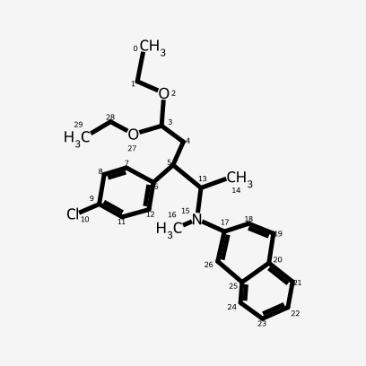 CCOC(CC(c1ccc(Cl)cc1)C(C)N(C)c1ccc2ccccc2c1)OCC